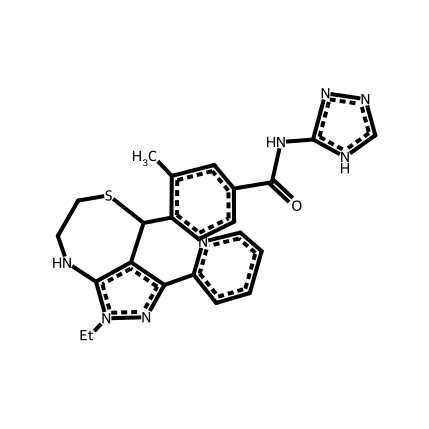 CCn1nc(-c2ccccn2)c2c1NCCSC2c1ccc(C(=O)Nc2nnc[nH]2)cc1C